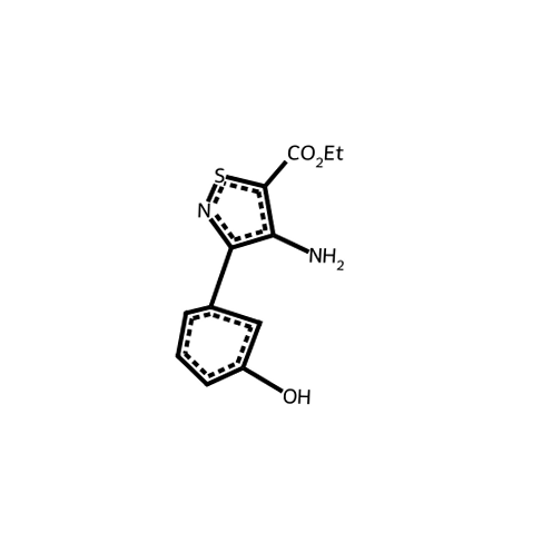 CCOC(=O)c1snc(-c2cccc(O)c2)c1N